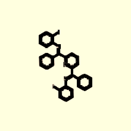 Ic1ccccc1/N=C(\c1ccccc1)c1cccc(/C(=N/c2ccccc2I)c2ccccc2)n1